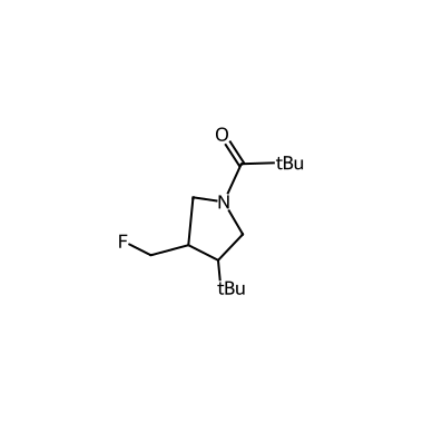 CC(C)(C)C(=O)N1CC(CF)C(C(C)(C)C)C1